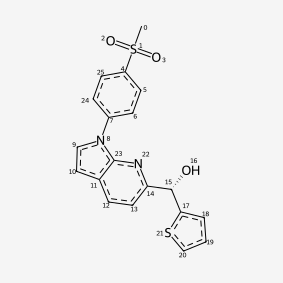 CS(=O)(=O)c1ccc(-n2ccc3ccc([C@H](O)c4cccs4)nc32)cc1